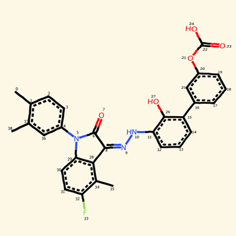 Cc1ccc(N2C(=O)C(=NNc3cccc(-c4cccc(OC(=O)O)c4)c3O)c3c2ccc(F)c3C)cc1C